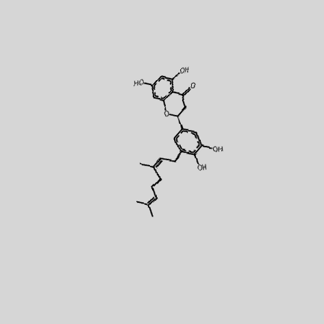 CC(C)=CCCC(C)=CCc1cc([C@@H]2CC(=O)c3c(O)cc(O)cc3O2)cc(O)c1O